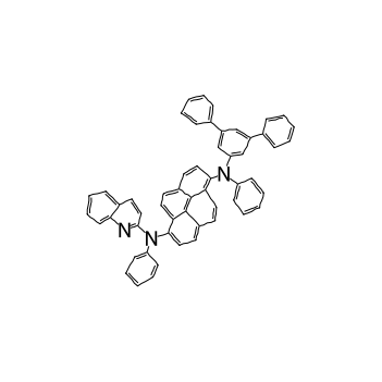 c1ccc(-c2cc(-c3ccccc3)cc(N(c3ccccc3)c3ccc4ccc5c(N(c6ccccc6)c6ccc7ccccc7n6)ccc6ccc3c4c65)c2)cc1